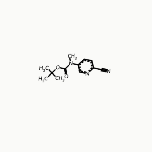 CN(C(=O)OC(C)(C)C)c1ccc(C#N)nc1